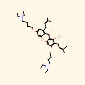 CCN(CC)CCCCOc1cc(CC=C(C)C)c2c(=O)c3c(O)c(CC=C(C)C)c(OCCCCN(CC)CC)cc3oc2c1